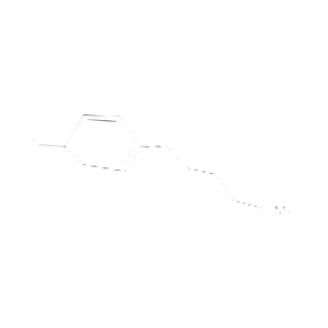 COCCCCC1=CCC(F)C=C1